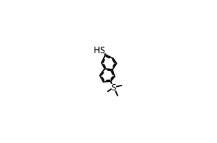 CS(C)(C)c1ccc2cc(S)ccc2c1